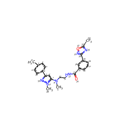 Cc1ccc(-c2cc(N(C)CCNC(=O)c3cccc(-c4noc(C(F)(F)F)n4)c3)n(C)n2)cc1